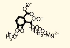 O.O.O.O.O.O.O=C(O[O-])c1ccc2ooc2c1C(=O)O[O-].[Mg+2]